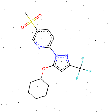 CS(=O)(=O)c1ccc(-n2nc(C(F)(F)F)cc2OC2CCCCC2)nc1